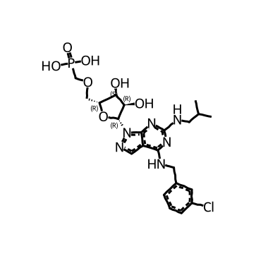 CC(C)CNc1nc(NCc2cccc(Cl)c2)c2cnn([C@@H]3O[C@H](COCP(=O)(O)O)[C@@H](O)[C@H]3O)c2n1